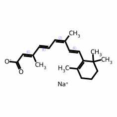 CC1=C(/C=C/C(C)=C\C=C\C(C)=C\C(=O)[O-])C(C)(C)CCC1.[Na+]